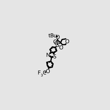 CC(C)(C)OC(=O)C1(S(=O)(=O)c2ccc3nc(-c4ccc(OC(F)(F)F)cc4)sc3c2)CCOCC1